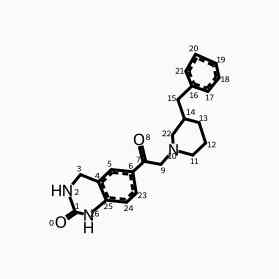 O=C1NCc2cc(C(=O)CN3CCCC(Cc4ccccc4)C3)ccc2N1